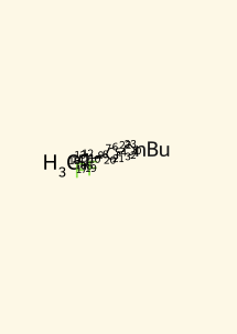 CCCC[C@H]1CC[C@H]([C@H]2CC[C@H](C#Cc3ccc(C)c(F)c3F)CC2)CC1